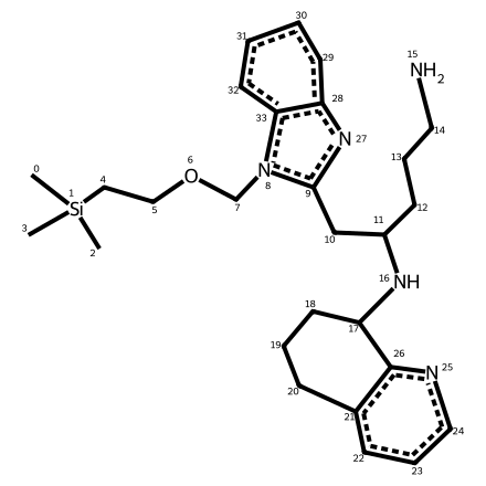 C[Si](C)(C)CCOCn1c(CC(CCCN)NC2CCCc3cccnc32)nc2ccccc21